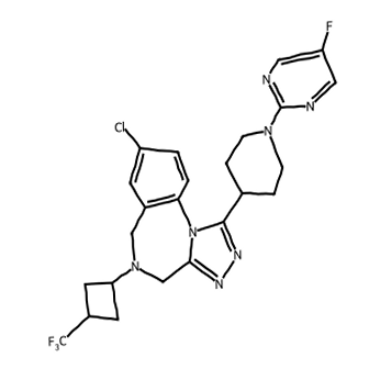 Fc1cnc(N2CCC(c3nnc4n3-c3ccc(Cl)cc3CN(C3CC(C(F)(F)F)C3)C4)CC2)nc1